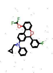 Fc1cccc(C2Oc3cccc(OC(F)F)c3-c3ccc(N(CC4CC4)c4ccccc4)cc32)c1